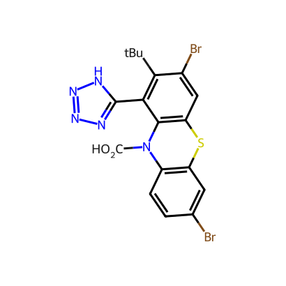 CC(C)(C)c1c(Br)cc2c(c1-c1nnn[nH]1)N(C(=O)O)c1ccc(Br)cc1S2